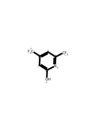 Oc1cc(C(F)(F)F)cc(C(F)(F)F)n1